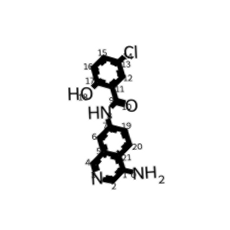 Nc1cncc2cc(NC(=O)c3cc(Cl)ccc3O)ccc12